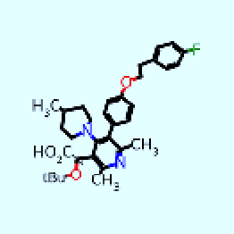 Cc1nc(C)c([C@H](OC(C)(C)C)C(=O)O)c(N2CCC(C)CC2)c1-c1ccc(OCCc2ccc(F)cc2)cc1